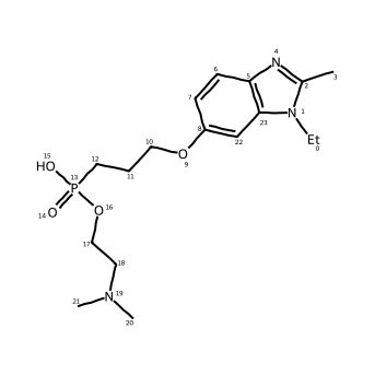 CCn1c(C)nc2ccc(OCCCP(=O)(O)OCCN(C)C)cc21